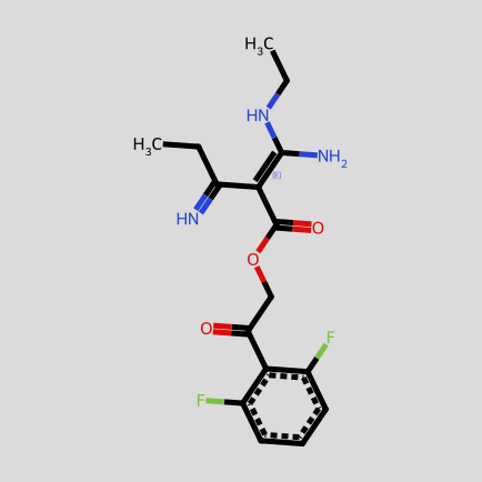 CCN/C(N)=C(\C(=N)CC)C(=O)OCC(=O)c1c(F)cccc1F